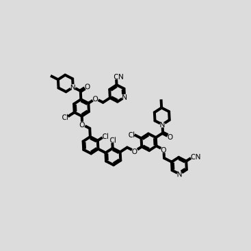 CC1CCN(C(=O)c2cc(Cl)c(OCc3cccc(-c4cccc(COc5cc(OCc6cncc(C#N)c6)c(C(=O)N6CCC(C)CC6)cc5Cl)c4Cl)c3Cl)cc2OCc2cncc(C#N)c2)CC1